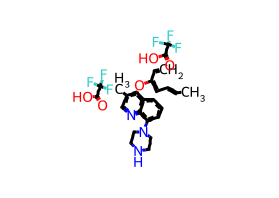 C=CC(=CC=CC)Oc1c(C)cnc2c(N3CCNCC3)cccc12.O=C(O)C(F)(F)F.O=C(O)C(F)(F)F